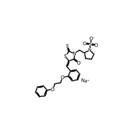 O=C1/C(=C\c2ccccc2OCCOc2ccccc2)SC(=S)N1CC1CCCN1S(=O)(=O)[O-].[Na+]